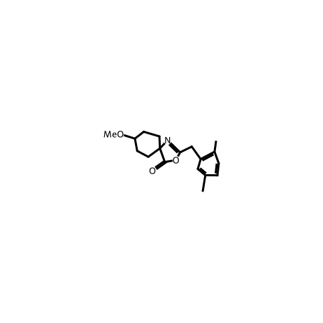 COC1CCC2(CC1)N=C(Cc1cc(C)ccc1C)OC2=O